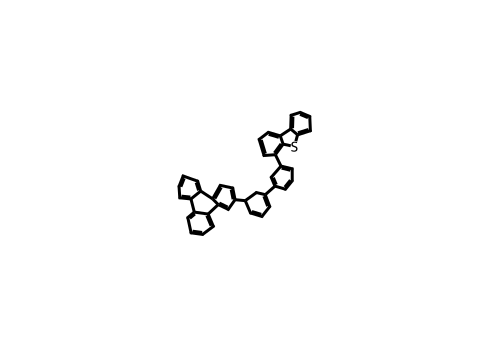 C1=CC(c2ccc3c4ccccc4c4ccccc4c3c2)CC(c2cccc(-c3cccc4c3sc3ccccc34)c2)=C1